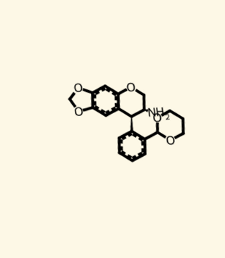 N[C@@H]1COc2cc3c(cc2[C@@H]1c1ccccc1C1OCCCO1)OCO3